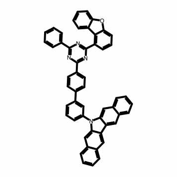 c1ccc(-c2nc(-c3ccc(-c4cccc(-n5c6cc7ccccc7cc6c6cc7ccccc7cc65)c4)cc3)nc(-c3cccc4oc5ccccc5c34)n2)cc1